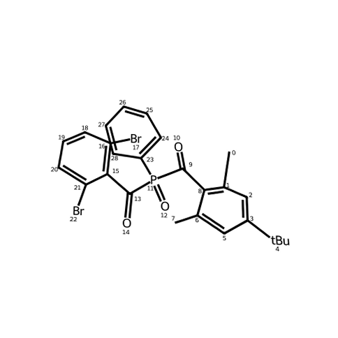 Cc1cc(C(C)(C)C)cc(C)c1C(=O)P(=O)(C(=O)c1c(Br)cccc1Br)c1ccccc1